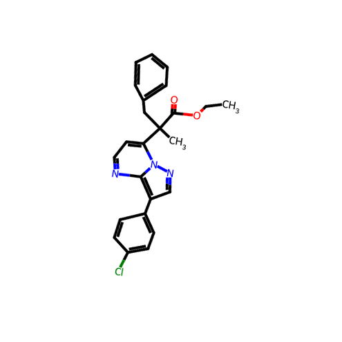 CCOC(=O)C(C)(Cc1ccccc1)c1ccnc2c(-c3ccc(Cl)cc3)cnn12